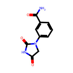 NC(=O)c1cccc(N2[CH]C(=O)NC2=O)c1